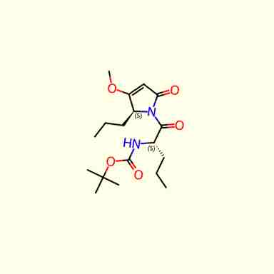 CCC[C@H](NC(=O)OC(C)(C)C)C(=O)N1C(=O)C=C(OC)[C@@H]1CCC